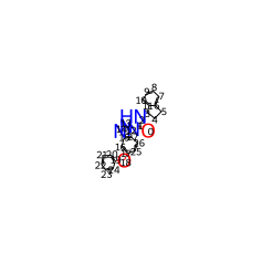 O=C(N[C@@H]1CCc2ccccc21)n1nnc2cc(Oc3ccccc3)ccc21